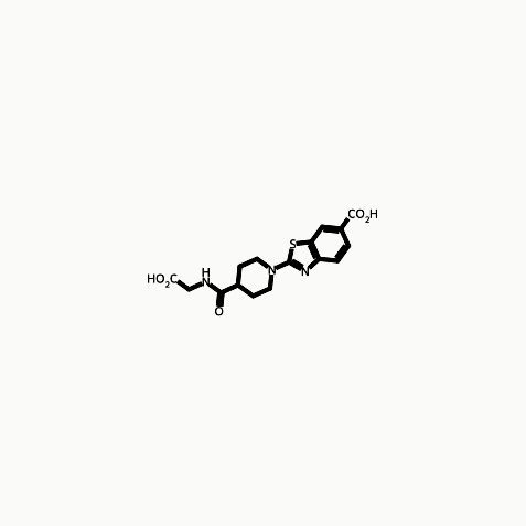 O=C(O)CNC(=O)C1CCN(c2nc3ccc(C(=O)O)cc3s2)CC1